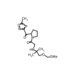 COCOCC(C)(C)NCC(=O)N1CCCC1C(=O)c1noc(C)n1